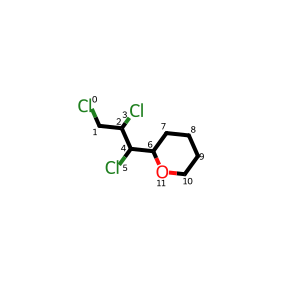 ClCC(Cl)C(Cl)C1CCCCO1